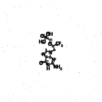 NC1=NC2C(N=CN2CC(OCP(=O)(O)O)C(F)(F)F)C(=O)N1